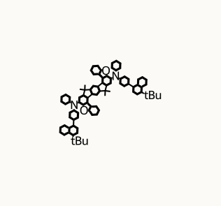 CC(C)(C)c1ccc(-c2ccc(N(c3ccccc3)c3cc4c(c5c3oc3ccccc35)-c3cc5c(cc3C4(C)C)-c3c(cc(N(c4ccccc4)c4ccc(-c6ccc(C(C)(C)C)c7ccccc67)cc4)c4oc6ccccc6c34)C5(C)C)cc2)c2ccccc12